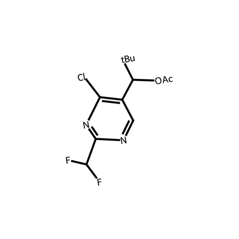 CC(=O)OC(c1cnc(C(F)F)nc1Cl)C(C)(C)C